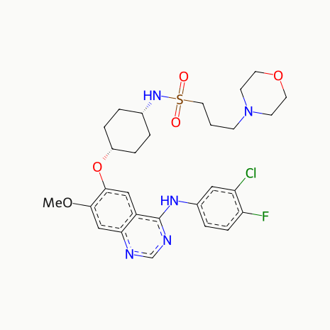 COc1cc2ncnc(Nc3ccc(F)c(Cl)c3)c2cc1O[C@H]1CC[C@@H](NS(=O)(=O)CCCN2CCOCC2)CC1